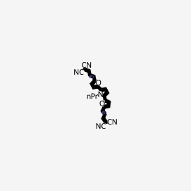 CCCn1c(-c2ccc(/C=C/C=C(C#N)C#N)o2)ccc1-c1ccc(/C=C/C=C(C#N)C#N)o1